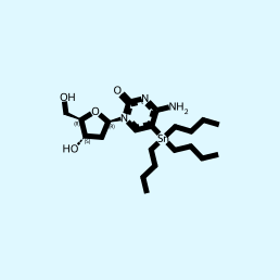 CCC[CH2][Sn]([CH2]CCC)([CH2]CCC)[c]1cn([C@H]2C[C@H](O)[C@@H](CO)O2)c(=O)nc1N